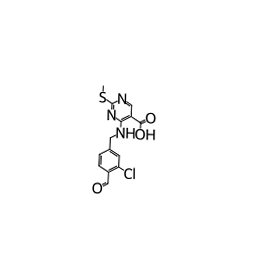 CSc1ncc(C(=O)O)c(NCc2ccc(C=O)c(Cl)c2)n1